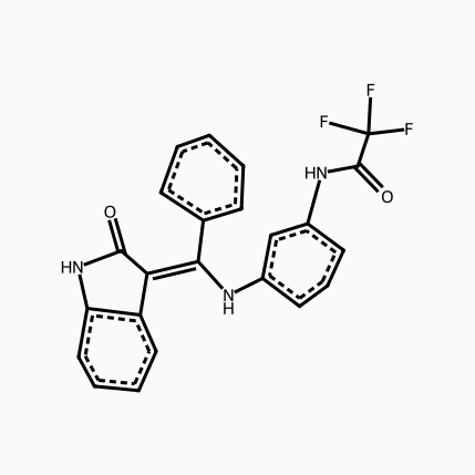 O=C1Nc2ccccc2C1=C(Nc1cccc(NC(=O)C(F)(F)F)c1)c1ccccc1